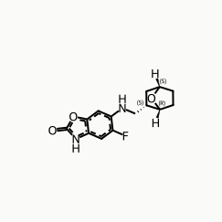 O=c1[nH]c2cc(F)c(NC[C@@H]3C[C@@H]4CC[C@H]3O4)cc2o1